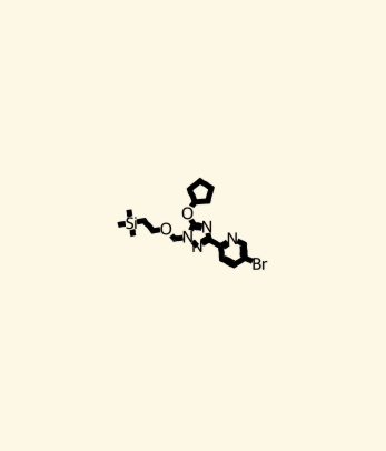 C[Si](C)(C)CCOCn1nc(-c2ccc(Br)cn2)nc1OC1CCCC1